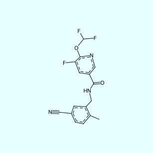 Cc1ccc(C#N)cc1CNC(=O)c1cnc(OC(F)F)c(F)c1